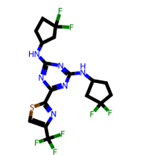 FC1(F)CCC(Nc2nc(NC3CCC(F)(F)C3)nc(-c3nc(C(F)(F)F)cs3)n2)C1